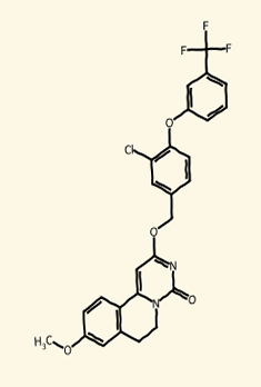 COc1ccc2c(c1)CCn1c-2cc(OCc2ccc(Oc3cccc(C(F)(F)F)c3)c(Cl)c2)nc1=O